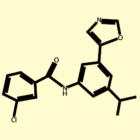 CC(C)c1cc(NC(=O)c2cccc(Cl)c2)cc(-c2cnco2)c1